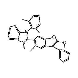 Cc1cc2c(cc1-c1n(-c3c(C)cccc3C)c3ccccc3[n+]1C)oc1oc3ccccc3c12